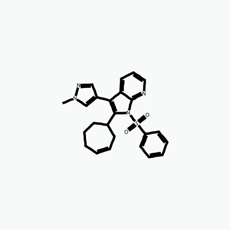 Cn1cc(-c2c(C3CC=CCCC3)n(S(=O)(=O)c3ccccc3)c3ncccc23)cn1